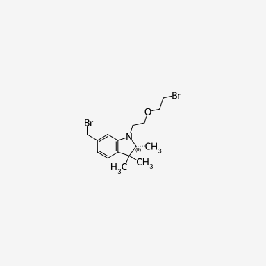 C[C@H]1N(CCOCCBr)c2cc(CBr)ccc2C1(C)C